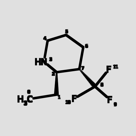 CC[C@H]1NCCC[C@@H]1C(F)(F)F